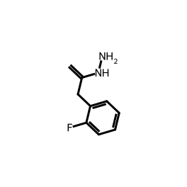 C=C(Cc1ccccc1F)NN